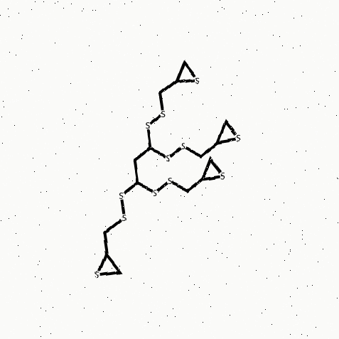 C(SSC(CC(SSCC1CS1)SSCC1CS1)SSCC1CS1)C1CS1